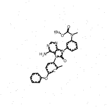 Cc1cc(Oc2ccccc2)ccc1-n1c(=O)n(-c2cccc(N(C)C(=O)OC(C)(C)C)c2)c2ncnc(N)c21